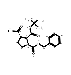 CC(C)(C)OC(=O)[C@@H]1[C@@H](C(=O)O)CCN1C(=O)OCc1ccccc1